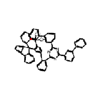 CC1(C)c2ccccc2C2(c3ccccc3-c3ccccc32)c2cc(-c3ccccc3-c3nc(-c4cccc(-c5ccccc5)c4)nc(-c4cccc(-c5ccccc5)c4)n3)ccc21